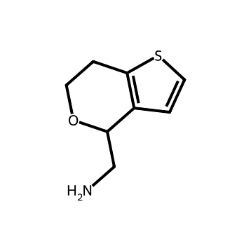 NCC1OCCc2sccc21